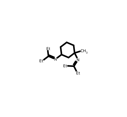 CCC(CC)=NC1CCCC(C)(N=C(CC)CC)C1